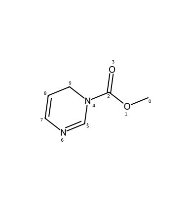 COC(=O)N1[C]=NC=CC1